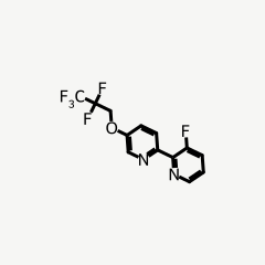 Fc1cccnc1-c1ccc(OCC(F)(F)C(F)(F)F)cn1